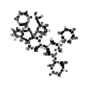 CC1(C)c2ccccc2C2(c3ccccc3-c3ccc(C4=NC(c5ccccn5)NC(c5ccccc5)=N4)cc32)c2ccccc21